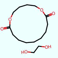 O=C1CCCCCCCC(=O)OCCCCO1.OCCO